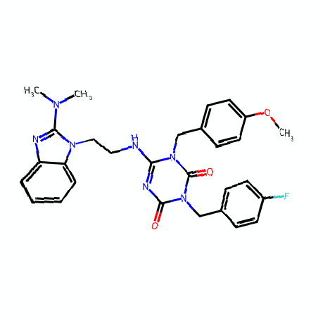 COc1ccc(Cn2c(NCCn3c(N(C)C)nc4ccccc43)nc(=O)n(Cc3ccc(F)cc3)c2=O)cc1